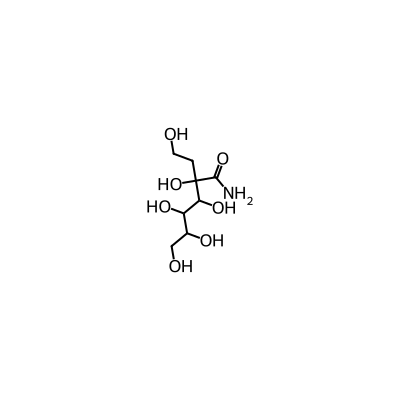 NC(=O)C(O)(CCO)C(O)C(O)C(O)CO